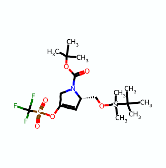 CC(C)(C)OC(=O)N1CC(OS(=O)(=O)C(F)(F)F)=C[C@H]1CO[Si](C)(C)C(C)(C)C